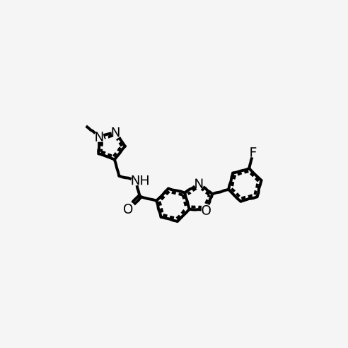 Cn1cc(CNC(=O)c2ccc3oc(-c4cccc(F)c4)nc3c2)cn1